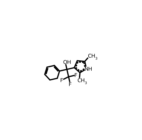 Cc1cc(C(O)(C2=CC=CCC2)C(F)(F)F)c(C)[nH]1